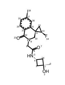 C[C@]1(O)C[C@H](NC(=O)CN2C[C@]3(C[C@H]3F)c3cc(I)ccc3C2=O)C1